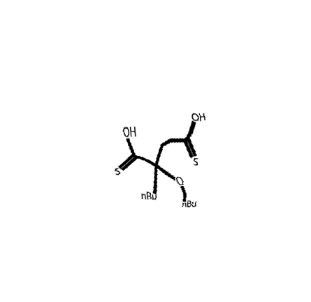 CCCCOC(CCCC)(CC(O)=S)C(O)=S